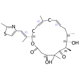 C/C1=C/C[C@@H](/C(C)=C/c2csc(C)n2)OC(=O)C[C@H](O)C(C)(C)C(=O)[C@H](C)[C@@H](O)[C@@H](C)C/C=C/C1